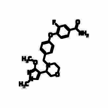 COc1nn(C)cc1C1COCCN1Cc1ccc(Oc2ccc(C(N)=O)cc2F)cc1